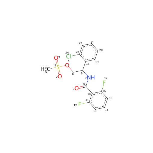 CS(=O)(=O)OCC(NC(=O)c1c(F)cccc1F)c1ccccc1Cl